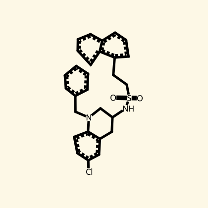 O=S(=O)(CCc1cccc2ccccc12)NC1Cc2cc(Cl)ccc2N(Cc2ccccc2)C1